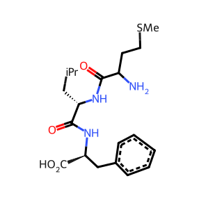 CSCCC(N)C(=O)N[C@@H](CC(C)C)C(=O)N[C@@H](Cc1ccccc1)C(=O)O